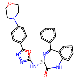 O=C1Nc2ccccc2C(c2ccccc2)=N[C@H]1Nc1nnc(-c2ccc(N3CCOCC3)cc2)o1